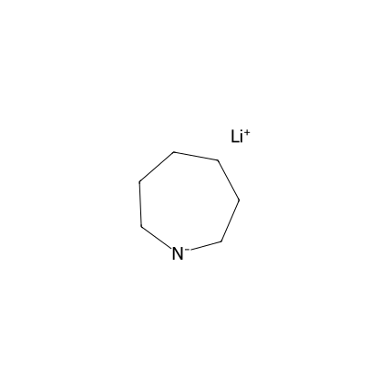 C1CCC[N-]CC1.[Li+]